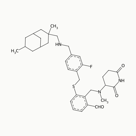 CC1CC2CC(C1)CC(C)(CNCc1ccc(CSc3cccc(C=O)c3CN(C)C3CCC(=O)NC3=O)c(F)c1)C2